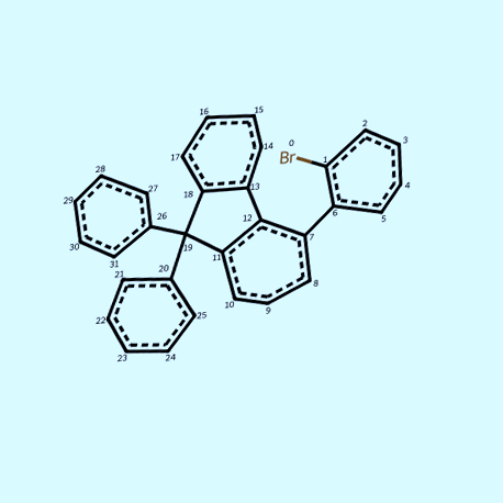 Brc1ccccc1-c1cccc2c1-c1ccccc1C2(c1ccccc1)c1ccccc1